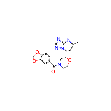 Cc1cc(C2CN(C(=O)c3ccc4c(c3)OCO4)CCO2)n2ncnc2n1